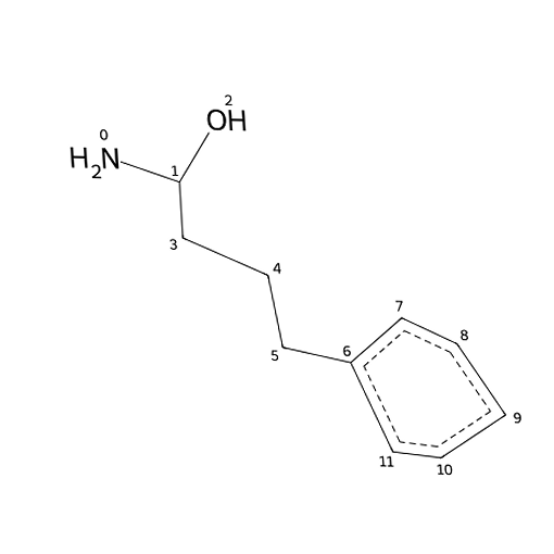 NC(O)CCCc1ccccc1